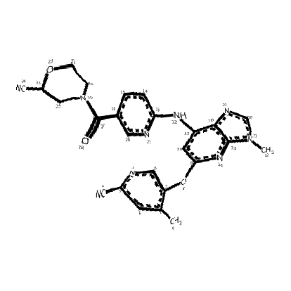 Cc1cc(C#N)ncc1Oc1cc(Nc2ccc(C(=O)N3CCOC(C#N)C3)cn2)c2ncn(C)c2n1